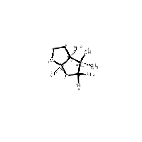 [2H]C1([2H])O[C@@]2([2H])OCC[C@@]2([2H])[C@@]1(C)O